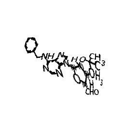 CC1(C)O[C@@H]2[C@@H](O1)[C@H](n1cnc3c(NCc4ccccc4)ncnc31)O[C@H]2C=O